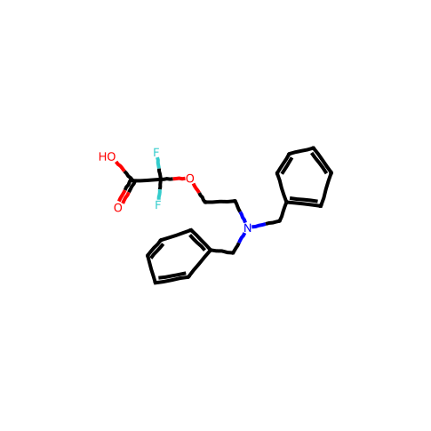 O=C(O)C(F)(F)OCCN(Cc1ccccc1)Cc1ccccc1